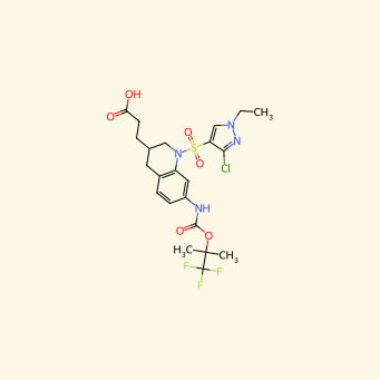 CCn1cc(S(=O)(=O)N2CC(CCC(=O)O)Cc3ccc(NC(=O)OC(C)(C)C(F)(F)F)cc32)c(Cl)n1